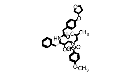 COc1ccc(S(=O)(=O)N(CC(C)C)C[C@@H](O)[C@H](Cc2ccccc2)NC(=O)Cc2ccc(O[C@@H]3CCOC3)cc2)cc1